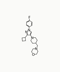 Fc1ccc(-n2cc(N3CCC(CN4CCOCC4)CC3)c(C3CCC3)n2)cc1